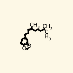 CC(=CCCc1ccc2c(c1)OCO2)CCCC(C)C